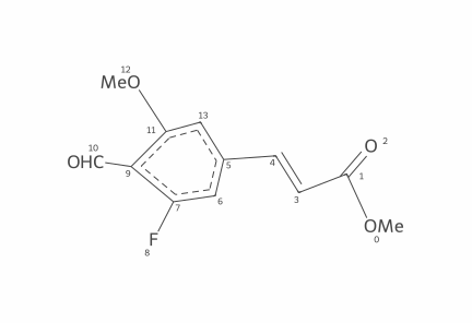 COC(=O)/C=C/c1cc(F)c(C=O)c(OC)c1